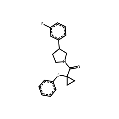 O=C(N1CCC(c2cccc(F)c2)C1)C1(Sc2ccccc2)CC1